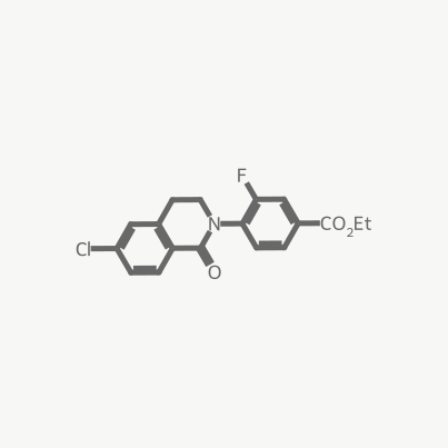 CCOC(=O)c1ccc(N2CCc3cc(Cl)ccc3C2=O)c(F)c1